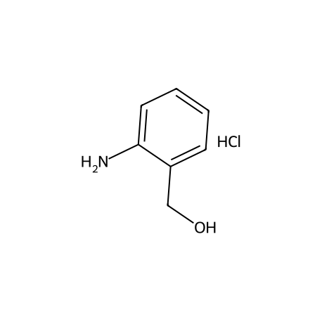 Cl.Nc1ccccc1CO